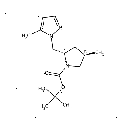 Cc1ccnn1C[C@@H]1C[C@@H](C)CN1C(=O)OC(C)(C)C